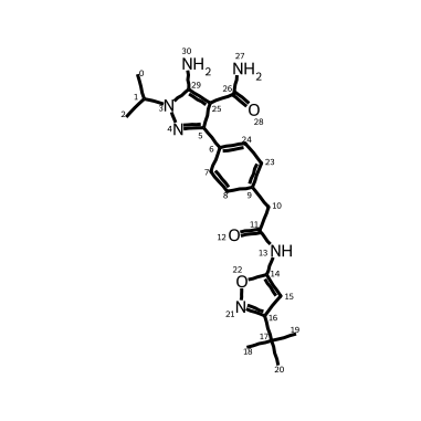 CC(C)n1nc(-c2ccc(CC(=O)Nc3cc(C(C)(C)C)no3)cc2)c(C(N)=O)c1N